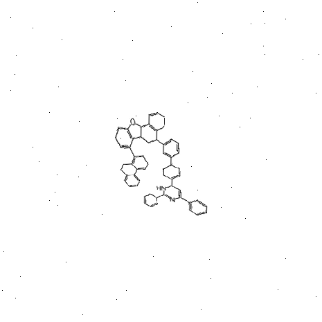 C1=CCC(C2=NC(c3ccccc3)=CC(C3=CCC(c4cccc(C5CC6C7=C(CCC=C7C7=C8CCc9ccccc9C8=CCC7)OC6C6=C5CCC=C6)c4)CC3)N2)C=C1